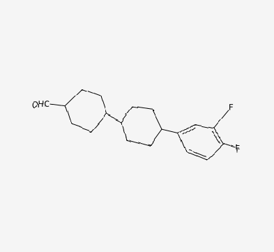 O=CC1CCC(C2CCC(c3ccc(F)c(F)c3)CC2)CC1